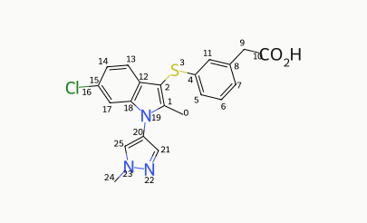 Cc1c(Sc2cccc(CC(=O)O)c2)c2ccc(Cl)cc2n1-c1cnn(C)c1